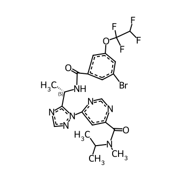 CC(C)N(C)C(=O)c1cc(-n2ncnc2[C@H](C)NC(=O)c2cc(Br)cc(OC(F)(F)C(F)F)c2)ncn1